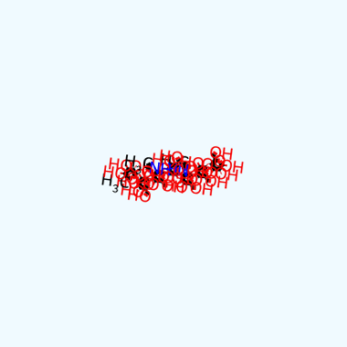 CC(=O)N[C@H]1[C@H](O[C@H]2[C@@H](O)[C@@H](CO)O[C@@H](O[C@H]3[C@H](O)[C@@H](O)[C@H](O)O[C@@H]3CO)[C@@H]2O)O[C@H](CO)[C@@H](O)[C@@H]1O[C@@H]1O[C@H](CO)[C@H](O)[C@H](O[C@@H]2O[C@H](CO)[C@@H](O)[C@H](O[C@@H]3O[C@H](CO)[C@H](O)[C@H](O)[C@H]3O[C@@H]3O[C@@H](C)[C@@H](O)[C@@H](O)[C@@H]3O)[C@H]2NC(C)=O)[C@H]1O